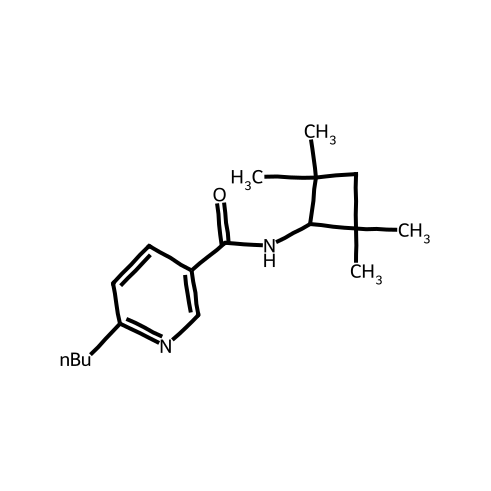 CCCCc1ccc(C(=O)NC2C(C)(C)CC2(C)C)cn1